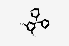 FC(F)(F)c1cc(N(c2ccccc2)c2cccnc2)cc(C(F)(F)F)c1